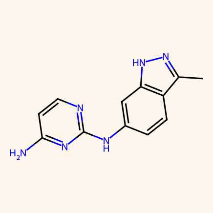 Cc1n[nH]c2cc(Nc3nccc(N)n3)ccc12